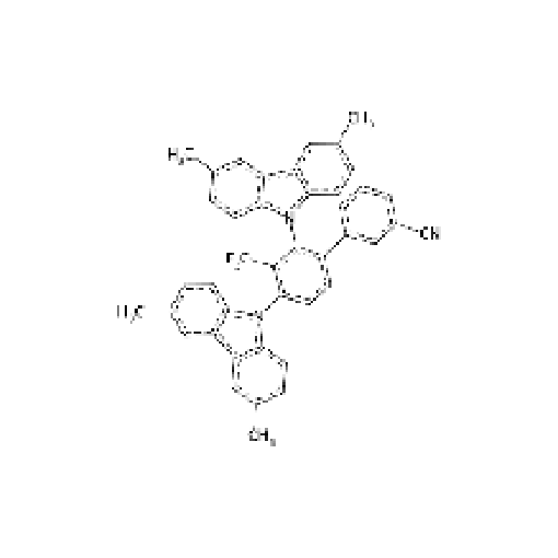 Cc1ccc2c(c1)c1cc(C)ccc1n2-c1ccc(-c2cccc(C#N)c2)c(-n2c3ccc(C)cc3c3cc(C)ccc32)c1C(F)(F)F